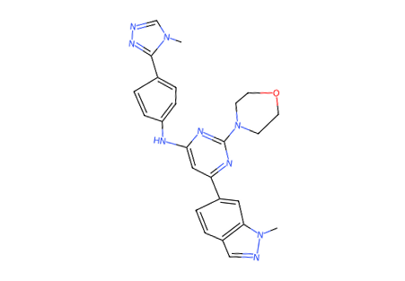 Cn1cnnc1-c1ccc(Nc2cc(-c3ccc4cnn(C)c4c3)nc(N3CCOCC3)n2)cc1